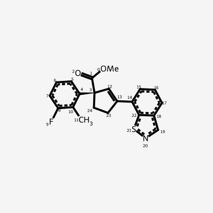 COC(=O)[C@]1(c2cccc(F)c2C)C=C(c2cccc3cnsc23)CC1